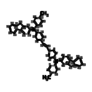 Cc1ccc(N(c2ccc(C#Cc3ccc(N(c4ccc(C)cc4)c4ccc5c(c4)Cc4ccccc4-5)cc3)cc2)c2ccc3c(c2)Cc2ccccc2-3)cc1